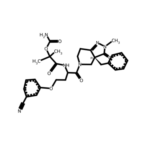 CN1N=C2CCN(C(=O)C(CCOc3cccc(C#N)c3)NC(=O)C(C)(C)OC(N)=O)C[C@@]2(Cc2ccccc2)C1=O